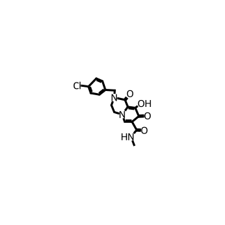 CNC(=O)c1cn2c(c(O)c1=O)C(=O)N(Cc1ccc(Cl)cc1)CC2